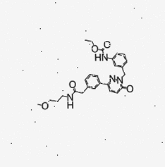 CCOC(=O)Nc1cccc(Cn2nc(-c3cccc(CC(=O)NCCCOC)c3)ccc2=O)c1